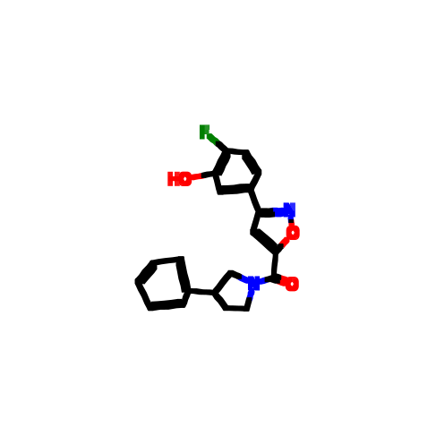 O=C(c1cc(-c2ccc(F)c(O)c2)no1)N1CCC(c2ccccc2)C1